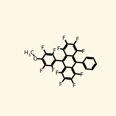 COc1c(F)c(F)c(-c2c3c(F)c(F)c(F)c(F)c3c(-c3ccccc3)c3c(F)c(F)c(F)c(F)c23)c(F)c1F